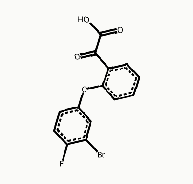 O=C(O)C(=O)c1ccccc1Oc1ccc(F)c(Br)c1